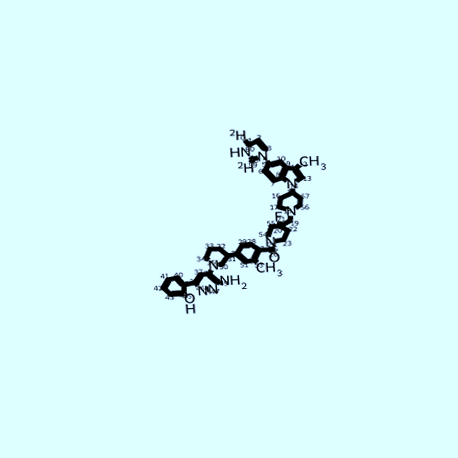 [2H]C1C=CN(c2ccc3c(c2)c(C)cn3C2CCN(CC3(F)CCN(C(=O)c4ccc(C5CCCN(c6cc(-c7ccccc7O)nnc6N)C5)cc4C)CC3)CC2)C([2H])N1